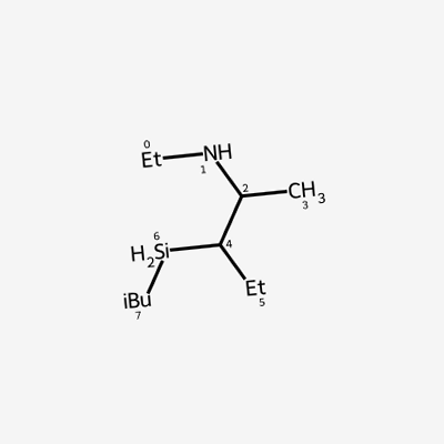 CCNC(C)C(CC)[SiH2]C(C)CC